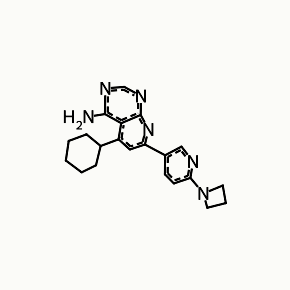 Nc1ncnc2nc(-c3ccc(N4CCC4)nc3)cc(C3CCCCC3)c12